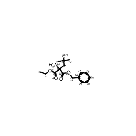 CCOC(=O)C(N)(CC(C)(C)F)C(=O)OCc1ccccc1